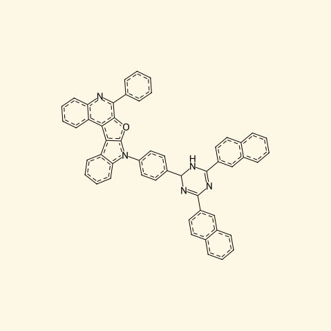 c1ccc(-c2nc3ccccc3c3c2oc2c3c3ccccc3n2-c2ccc(C3N=C(c4ccc5ccccc5c4)N=C(c4ccc5ccccc5c4)N3)cc2)cc1